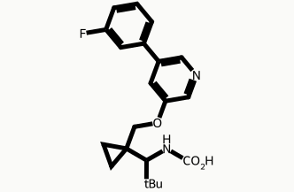 CC(C)(C)C(NC(=O)O)C1(COc2cncc(-c3cccc(F)c3)c2)CC1